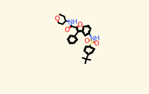 CC(C)(C)c1ccc(S(=O)(=O)Nc2ccc3oc(C(=O)NC4CCOCC4)c(-c4ccccc4)c3c2)cc1